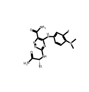 CC[C@@H](Nc1nnc(C(N)=O)c(Nc2ccc(N(C)C)c(F)c2)n1)C(N)=O